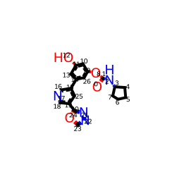 O=C(NC1CCCC1)Oc1cc(O)cc(-c2cncc(-c3nnco3)c2)c1